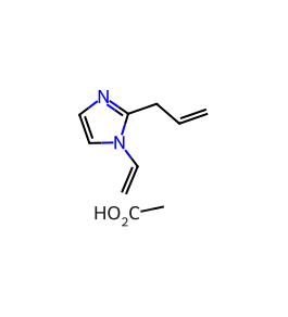 C=CCc1nccn1C=C.CC(=O)O